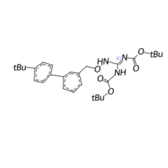 CC(C)(C)OC(=O)/N=C(/NOCc1cccc(-c2ccc(C(C)(C)C)cc2)c1)NC(=O)OC(C)(C)C